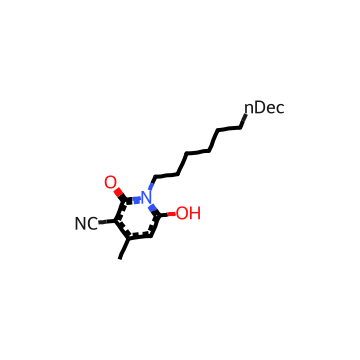 CCCCCCCCCCCCCCCCn1c(O)cc(C)c(C#N)c1=O